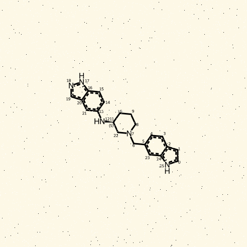 c1cc2ccc(CN3CCC[C@H](Nc4ccc5[nH]ncc5c4)C3)cc2[nH]1